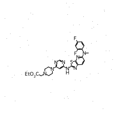 CCOC(=O)CN1CCN(c2cc(Nc3nc4ccc(N(C)c5ccc(F)cc5F)nc4s3)ncn2)CC1